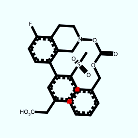 CS(=O)(=O)c1ccc(CC(=O)O)cc1-c1ccc(F)c2c1CN(OC(=O)OCc1ccccc1)CC2